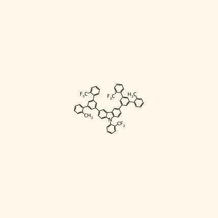 Cc1ccccc1-c1cc(-c2ccc3c(c2)c2cc(-c4cc(-c5ccccc5C)cc(-c5ccccc5C(F)(F)F)c4)ccc2n3-c2ccccc2C(F)(F)F)cc(-c2ccccc2C(F)(F)F)c1